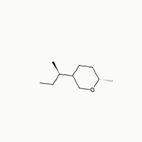 CC[C@@H](C)C1CC[C@H](C)OC1